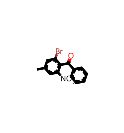 Cc1cc(Br)c(C(=O)c2ccccc2)c([N+](=O)[O-])c1